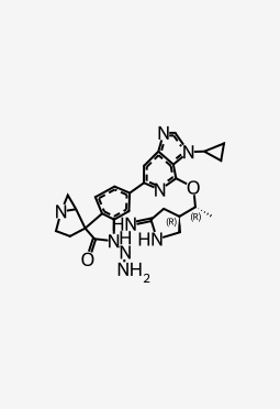 C[C@@H](Oc1nc(-c2ccc3c(c2)N(NN)C(=O)C32CCN3CC32)cc2ncn(C3CC3)c12)[C@H]1CNC(=N)C1